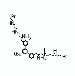 CC(C)CCNCCCNCCC(N)Cc1cccc(-c2cc(-c3cccc(CC(N)CCNCCCNCCC(C)C)c3)cc(C(C)(C)C)c2)c1